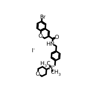 C[N+](C)(Cc1ccc(CNC(=O)C2=Cc3cc(Br)ccc3OC2)cc1)C1CCOCC1.[I-]